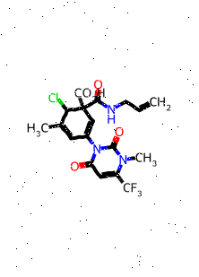 C=CCNC(=O)C1(C(=O)O)C=C(n2c(=O)cc(C(F)(F)F)n(C)c2=O)C=C(C)C1Cl